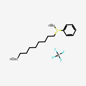 CCCCCCCCCCCCCCCCCC[S+](CCCC)c1ccccc1.F[B-](F)(F)F